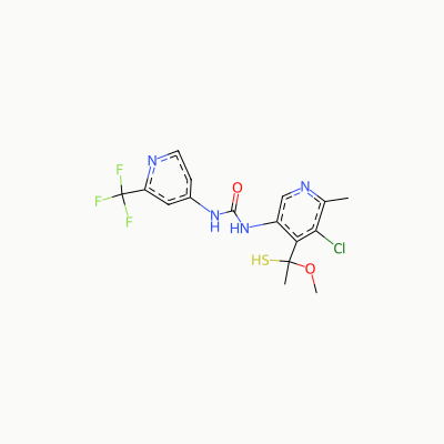 COC(C)(S)c1c(NC(=O)Nc2ccnc(C(F)(F)F)c2)cnc(C)c1Cl